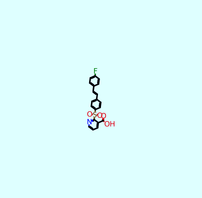 O=C(O)c1cccnc1S(=O)(=O)c1ccc(/C=C/c2ccc(F)cc2)cc1